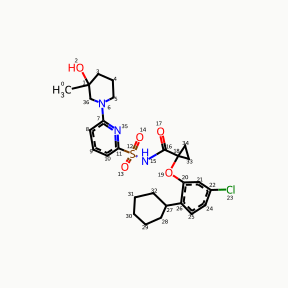 CC1(O)CCCN(c2cccc(S(=O)(=O)NC(=O)C3(Oc4cc(Cl)ccc4C4CCCCC4)CC3)n2)C1